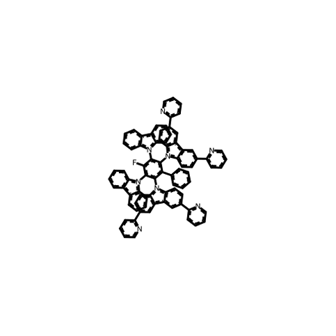 Fc1c(-n2c3ccccc3c3ccccc32)c(-n2c3ccc(-c4ccccn4)cc3c3cc(-c4ccccn4)ccc32)c(-c2ccccc2)c(-n2c3ccc(-c4ccccn4)cc3c3cc(-c4ccccn4)ccc32)c1-n1c2ccccc2c2ccccc21